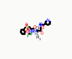 CC(C)(NC(=O)C(N)CS(=O)(=O)Cc1ccccc1OC(F)F)C(=O)c1nnc(-c2cccnc2)o1